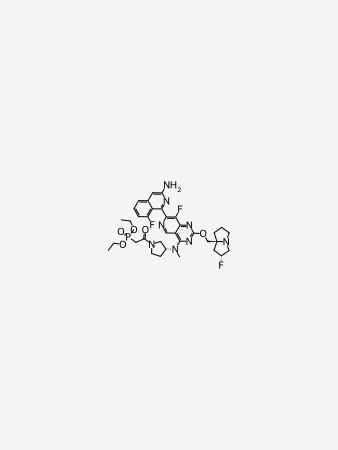 CCOP(=O)(CC(=O)N1CC[C@@H](N(C)c2nc(OC[C@@]34CCCN3C[C@H](F)C4)nc3c(F)c(-c4nc(N)cc5cccc(F)c45)ncc23)C1)OCC